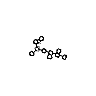 c1ccc(-c2nc(-c3ccc(-c4ccc(-c5ccc(-c6ccccc6)c6ccccc56)c5ccccc45)cc3)nc(-c3cccc4c3sc3ccccc34)n2)cc1